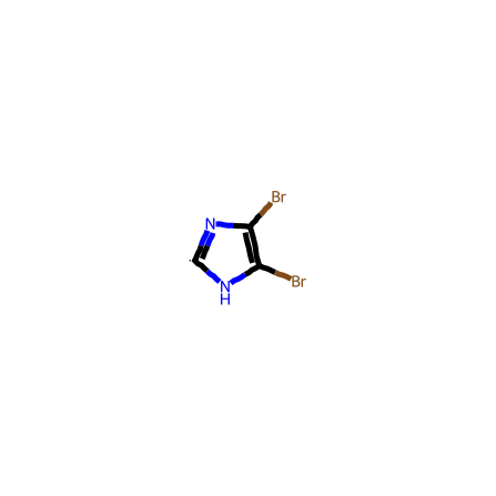 Brc1n[c][nH]c1Br